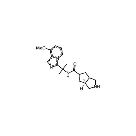 COc1cccn2c(C(C)(C)NC(=O)C3CC4CNC[C@H]4C3)ncc12